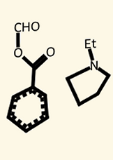 CCN1CCCC1.O=COC(=O)c1ccccc1